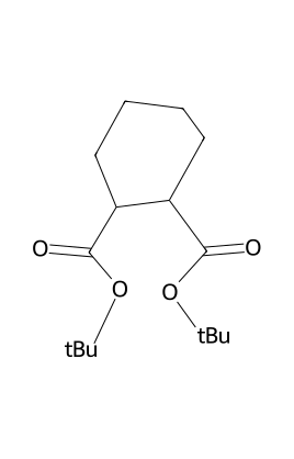 CC(C)(C)OC(=O)C1CCCCC1C(=O)OC(C)(C)C